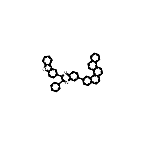 c1ccc(-c2nc3cc(-c4ccc5ccc6ccc7c8ccccc8ccc7c6c5c4)ccc3nc2-c2ccc3oc4ccccc4c3c2)cc1